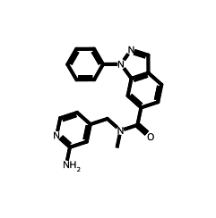 CN(Cc1ccnc(N)c1)C(=O)c1ccc2cnn(-c3ccccc3)c2c1